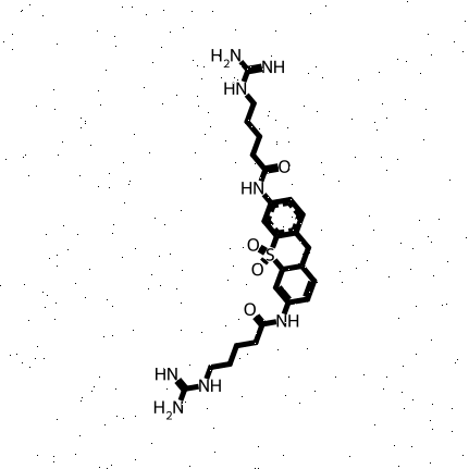 N=C(N)NCCCCC(=O)NC1=CC2C(C=C1)Cc1ccc(NC(=O)CCCCNC(=N)N)cc1S2(=O)=O